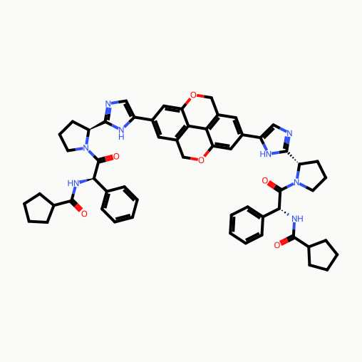 O=C(N[C@@H](C(=O)N1CCC[C@H]1c1ncc(-c2cc3c4c(c2)OCc2cc(-c5cnc([C@@H]6CCCN6C(=O)[C@H](NC(=O)C6CCCC6)c6ccccc6)[nH]5)cc(c2-4)OC3)[nH]1)c1ccccc1)C1CCCC1